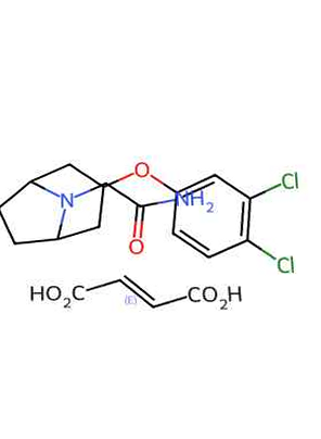 NC(=O)CN1C2CCC1CC(Oc1ccc(Cl)c(Cl)c1)C2.O=C(O)/C=C/C(=O)O